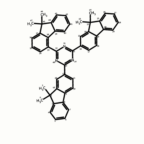 CC1(C)c2ccccc2-c2ccc(-c3nc(-c4ccc5c(c4)C(C)(C)c4ccccc4-5)nc(-c4cccc5c4-c4ccccc4C5(C)C)n3)cc21